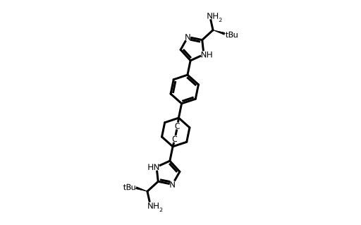 CC(C)(C)[C@H](N)c1ncc(-c2ccc(C34CCC(c5cnc([C@@H](N)C(C)(C)C)[nH]5)(CC3)CC4)cc2)[nH]1